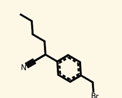 CCCCC(C#N)c1ccc(CBr)cc1